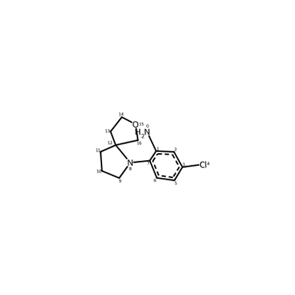 Nc1cc(Cl)ccc1N1CCCC12CCOC2